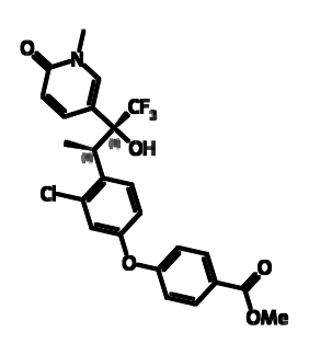 COC(=O)c1ccc(Oc2ccc([C@@H](C)[C@@](O)(c3ccc(=O)n(C)c3)C(F)(F)F)c(Cl)c2)cc1